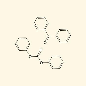 O=C(Oc1ccccc1)Oc1ccccc1.O=C(c1ccccc1)c1ccccc1